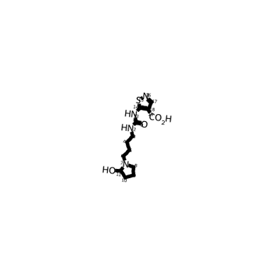 O=C(NCCCCN1CCCC1O)Nc1sncc1C(=O)O